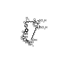 CCCCCCCCCCCCCCCCCCCC(=O)N[C@@H](CCS(=O)(=O)O)C(=O)N[C@@H](CCS(=O)(=O)O)C(=O)NCCCC[C@H](C)C(=O)N1CCN(c2ccc3ncn(CC(=O)N[C@@H](CCCNC(=N)N)C(=O)NC)c(=O)c3c2)CC1